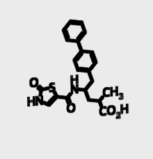 CC(CC(Cc1ccc(-c2ccccc2)cc1)NC(=O)c1c[nH]c(=O)s1)C(=O)O